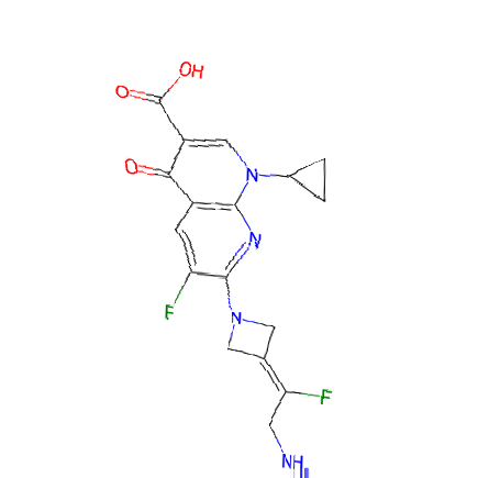 NCC(F)=C1CN(c2nc3c(cc2F)c(=O)c(C(=O)O)cn3C2CC2)C1